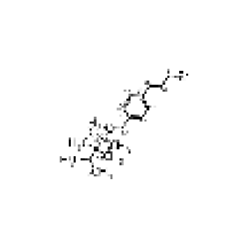 CC(C)C(C)(C)[Si](C)(C)OCc1ccc(CCCBr)cc1